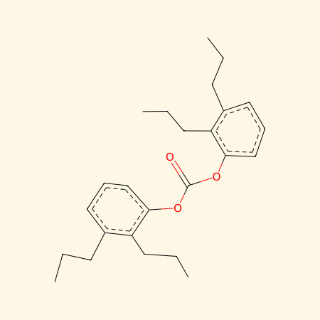 CCCc1cccc(OC(=O)Oc2cccc(CCC)c2CCC)c1CCC